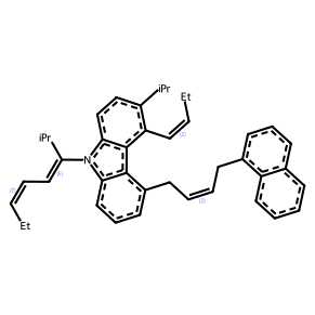 CC/C=C\C=C(/C(C)C)n1c2cccc(C/C=C\Cc3cccc4ccccc34)c2c2c(/C=C\CC)c(C(C)C)ccc21